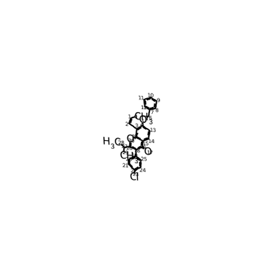 C/C=C\c1c(OCc2ccccc2)ccc2c(=O)c(-c3ccc(Cl)cc3)c(C(C)C)oc12